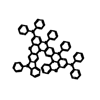 c1ccc(N(c2ccccc2)c2cc3c4c(c2)N(c2ccccc2)c2cc5c(cc2B4c2ccccc2O3)B2c3cc4c6ccccc6n(-c6ccccc6)c4cc3Oc3cc(N(c4ccccc4)c4ccccc4)cc(c32)N5c2ccccc2)cc1